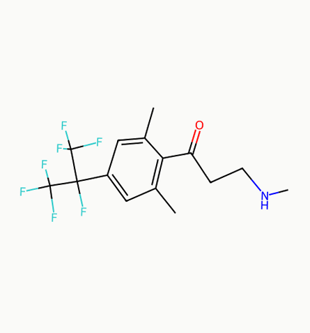 CNCCC(=O)c1c(C)cc(C(F)(C(F)(F)F)C(F)(F)F)cc1C